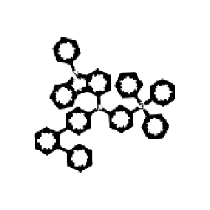 c1ccc(-c2ccccc2-c2ccc(N(c3cccc([Si](c4ccccc4)(c4ccccc4)c4ccccc4)c3)c3cccc4c3c3ccccc3n4-c3ccccc3)cc2)cc1